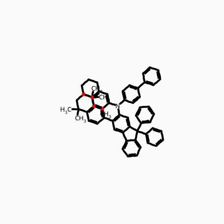 Cc1cc2c(cc1N(c1ccc(-c3ccccc3)cc1)c1cc3c(cc1-c1ccc4c(c1)C(C)(C)CCC4(C)C)-c1ccccc1C3(c1ccccc1)c1ccccc1)CCCC2